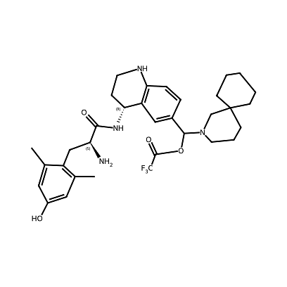 Cc1cc(O)cc(C)c1C[C@H](N)C(=O)N[C@@H]1CCNc2ccc(C(OC(=O)C(F)(F)F)N3CCCC4(CCCCC4)C3)cc21